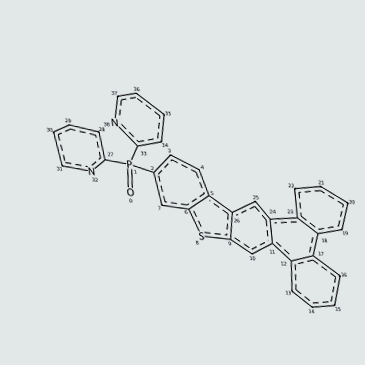 O=P(c1ccc2c(c1)sc1cc3c4ccccc4c4ccccc4c3cc12)(c1ccccn1)c1ccccn1